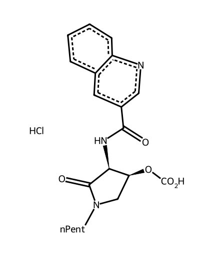 CCCCCN1C[C@H](OC(=O)O)[C@H](NC(=O)c2cnc3ccccc3c2)C1=O.Cl